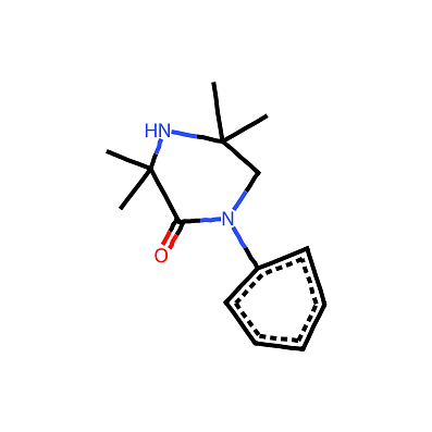 CC1(C)CN(c2ccccc2)C(=O)C(C)(C)N1